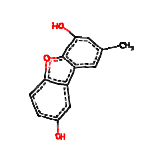 Cc1cc(O)c2oc3ccc(O)cc3c2c1